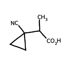 CC(C(=O)O)C1(C#N)CC1